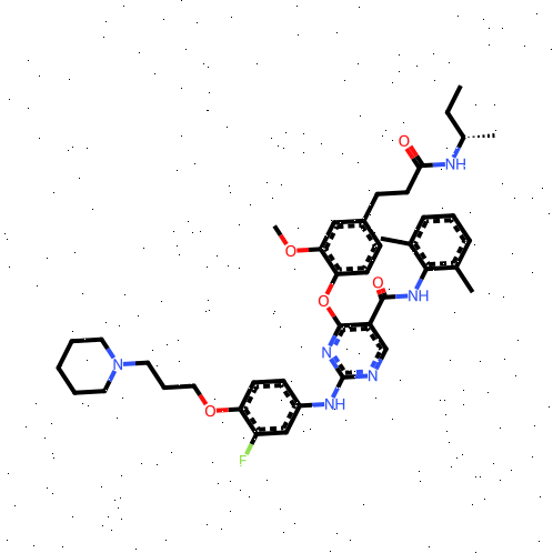 CC[C@H](C)NC(=O)CCc1ccc(Oc2nc(Nc3ccc(OCCCN4CCCCC4)c(F)c3)ncc2C(=O)Nc2c(C)cccc2C)c(OC)c1